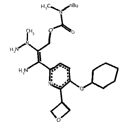 CCCCN(C)C(=O)OC/C(=C(/N)c1ccc(OC2CCCCC2)c(C2COC2)n1)N(C)N